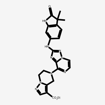 CCOC(=O)c1cnn2c1CN(c1nccn3nc(Nc4ccc5c(c4)NC(=O)C5(C)C)nc13)CC2